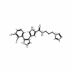 O=C(NCCCn1ccnc1)c1cc(-c2cnoc2-c2cccc(F)c2F)c[nH]1